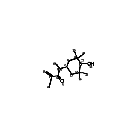 C=C(C)C(=O)N(C)C1CC(C)(C)N(O)C(C)(C)C1